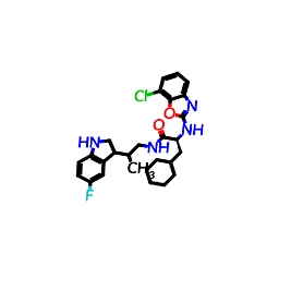 CC(CNC(=O)[C@H](CC1CCCCC1)Nc1nc2cccc(Cl)c2o1)C1CNc2ccc(F)cc21